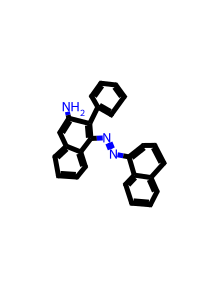 Nc1cc2ccccc2c(N=Nc2cccc3ccccc23)c1-c1ccccc1